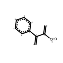 C=C(C=O)C(=C)c1ccccc1